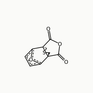 O=C1OC(=O)[C@@]23CSC[C@]12c1ccc3o1